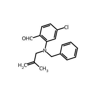 C=C(C)CN(Cc1ccccc1)c1cc(Cl)ccc1C=O